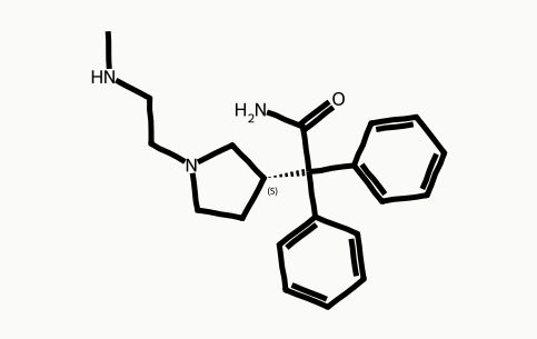 CNCCN1CC[C@@H](C(C(N)=O)(c2ccccc2)c2ccccc2)C1